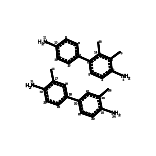 Cc1c(N)ccc(-c2ccc(N)cc2)c1C.Cc1cc(-c2ccc(N)c(C)c2)ccc1N